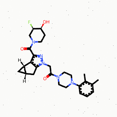 Cc1cccc(N2CCN(C(=O)Cn3nc(C(=O)N4CC[C@H](O)[C@H](F)C4)c4c3C[C@@H]3C[C@H]43)CC2)c1C